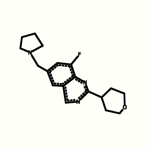 Fc1cc(CN2CCCC2)cc2cnc(C3CCOCC3)nc12